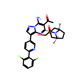 CC(=O)c1c([C@@H]2C[C@H]3CC[C@@H](C2)N3C(=O)CO)nc2c(-c3ccc(-c4c(F)cccc4F)nc3)cnn2c1N